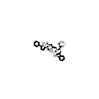 COC(=O)[C@H](Cc1c[nH]c2ccccc12)N(N)/C=C(\N)CN(C)[S+]([O-])c1ccc(-c2ccccc2)s1